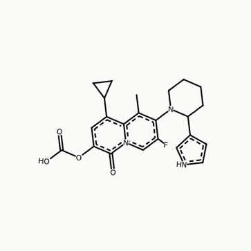 Cc1c(N2CCCCC2c2cc[nH]c2)c(F)cn2c(=O)c(OC(=O)O)cc(C3CC3)c12